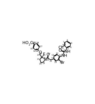 O=C(Nc1ccccc1Cl)Nc1ccc(CC(=O)N2CCC[C@]2(F)COc2ccc(C(=O)O)cc2)cc1Br